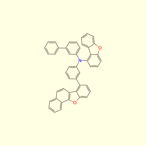 c1ccc(-c2cccc(N(c3cccc(-c4cccc5oc6c7ccccc7ccc6c45)c3)c3cccc4oc5ccccc5c34)c2)cc1